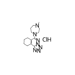 CN1CCCN(c2nn3nnnc3c3c2CCCC3)CC1.Cl